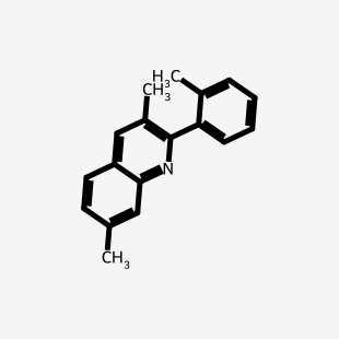 Cc1ccc2cc(C)c(-c3ccccc3C)nc2c1